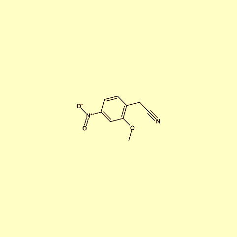 COc1cc([N+](=O)[O-])ccc1CC#N